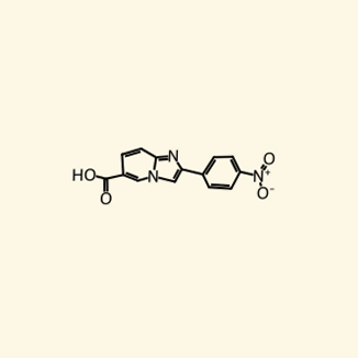 O=C(O)c1ccc2nc(-c3ccc([N+](=O)[O-])cc3)cn2c1